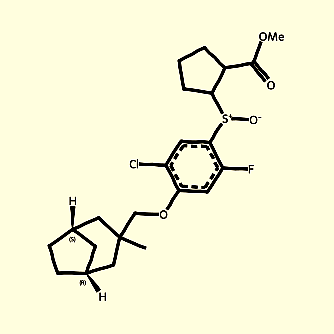 COC(=O)C1CCCC1[S+]([O-])c1cc(Cl)c(OCC2(C)C[C@@H]3CC[C@@H](C3)C2)cc1F